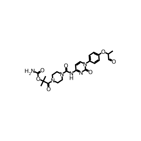 CC(C=O)Oc1ccc(-n2ccc(NC(=O)N3CCN(C(=O)C(C)(C)OC(N)=O)CC3)nc2=O)cc1